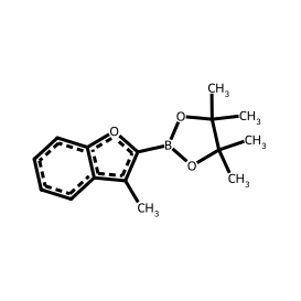 Cc1c(B2OC(C)(C)C(C)(C)O2)oc2ccccc12